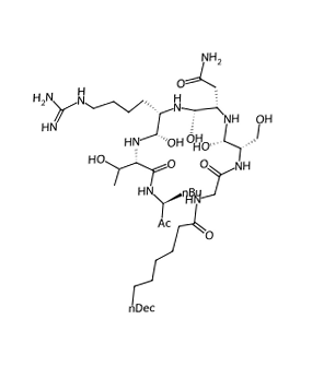 CCCCCCCCCCCCCCCC(=O)NCC(=O)N[C@@H](CO)[C@H](O)N[C@@H](CC(N)=O)[C@H](O)N[C@@H](CCCCNC(=N)N)[C@H](O)N[C@H](C(=O)N[C@@H](CCCC)C(C)=O)C(C)O